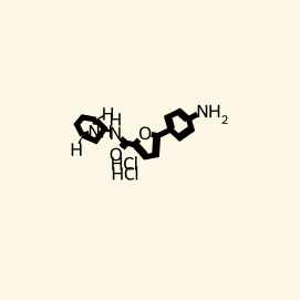 Cl.Cl.Nc1ccc(-c2ccc(C(=O)N[C@@H]3C[C@H]4CC[C@@H]3N4)o2)cc1